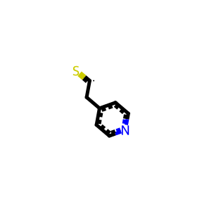 S=[C]Cc1ccncc1